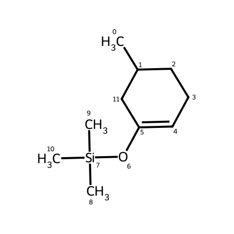 CC1CCC=C(O[Si](C)(C)C)C1